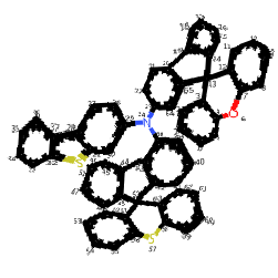 c1ccc2c(c1)Oc1ccccc1C21c2ccccc2-c2ccc(N(c3ccc4c(c3)sc3ccccc34)c3cccc4c3-c3ccccc3C43c4ccccc4Sc4ccccc43)cc21